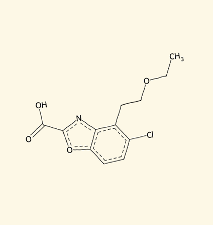 CCOCCc1c(Cl)ccc2oc(C(=O)O)nc12